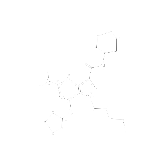 CCOCCn1nc(C(=O)NC2CCNCC2)c2nc(N(C)C)nc(NC3CCCC3)c21